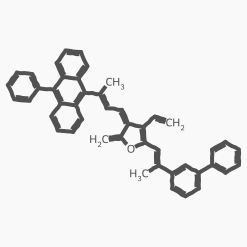 C=Cc1c(/C=C(\C)c2cccc(-c3ccccc3)c2)oc(=C)/c1=C\C=C(/C)c1c2ccccc2c(-c2ccccc2)c2ccccc12